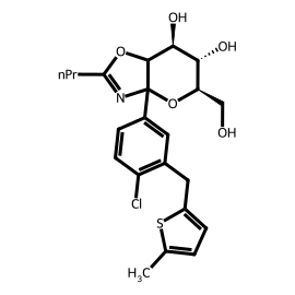 CCCC1=NC2(c3ccc(Cl)c(Cc4ccc(C)s4)c3)O[C@H](CO)[C@@H](O)[C@H](O)C2O1